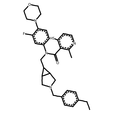 CCc1ccc(CN2CC3C(C2)C3CN(C(=O)c2c(S)ccnc2C)c2ccc(N3CCOCC3)c(F)c2)cc1